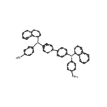 CCCc1ccc(N(c2ccc(-c3ccc(N(c4ccc(CCC)cc4)c4cccc5ccccc45)cc3)cc2)c2cccc3ccccc23)cc1